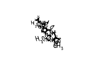 C[C@@H]1CN=C2N(Cc3cnn(C)c3)C(=O)c3cc(S(=O)(=O)NC4(C)CC4)ccc3N21